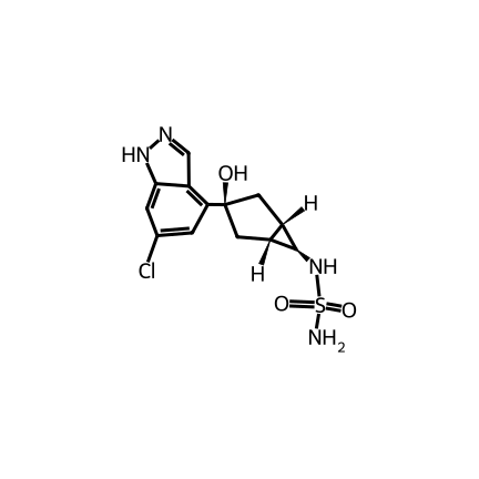 NS(=O)(=O)N[C@H]1[C@@H]2C[C@](O)(c3cc(Cl)cc4[nH]ncc34)C[C@@H]21